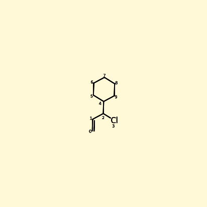 C=CC(Cl)C1CCCCC1